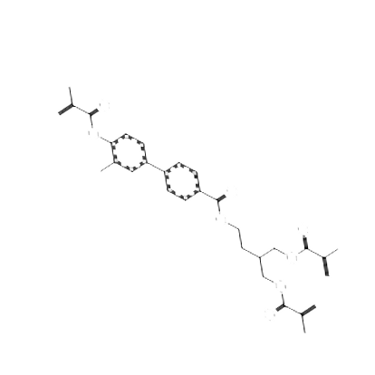 C=C(C)C(=O)OCC(CCOC(=O)c1ccc(-c2ccc(OC(=O)C(=C)C)c(C)c2)cc1)COC(=O)C(=C)C